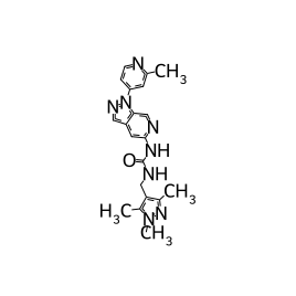 Cc1cc(-n2ncc3cc(NC(=O)NCc4c(C)nn(C)c4C)ncc32)ccn1